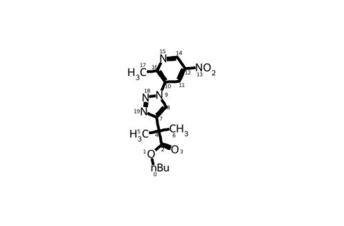 CCCCOC(=O)C(C)(C)c1cn(-c2cc([N+](=O)[O-])cnc2C)nn1